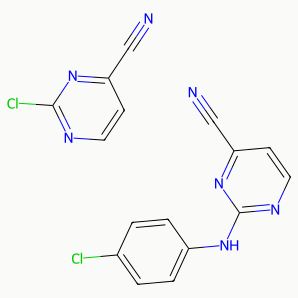 N#Cc1ccnc(Cl)n1.N#Cc1ccnc(Nc2ccc(Cl)cc2)n1